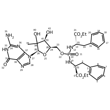 CCOC(=O)[C@H](Cc1ccccc1)NP(=O)(N[C@@H](Cc1ccccc1)C(=O)OCC)OC[C@H]1O[C@@H](n2cnc3c(=O)[nH]c(N)nc32)C(C)(O)[C@H]1O